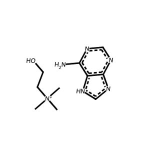 C[N+](C)(C)CCO.Nc1ncnc2nc[nH]c12